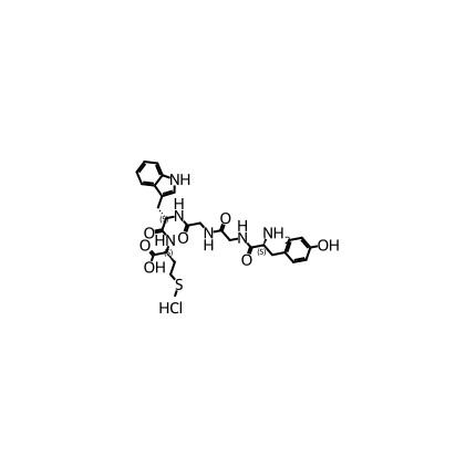 CSCC[C@H](NC(=O)[C@H](Cc1c[nH]c2ccccc12)NC(=O)CNC(=O)CNC(=O)[C@@H](N)Cc1ccc(O)cc1)C(=O)O.Cl